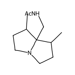 CC(=O)NCC12C(C)CCN1CCC2C